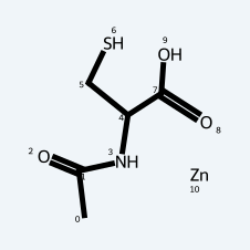 CC(=O)NC(CS)C(=O)O.[Zn]